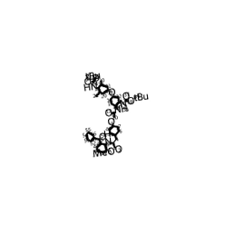 COC(=O)[C@H](Cc1ccc(OCC(=O)Nc2ccc(Oc3cc(C)c(NC(=O)OC(C)(C)C)c(C)c3)cc2N(C)C(=O)OC(C)(C)C)cc1)Nc1ccccc1C(=O)c1ccccc1